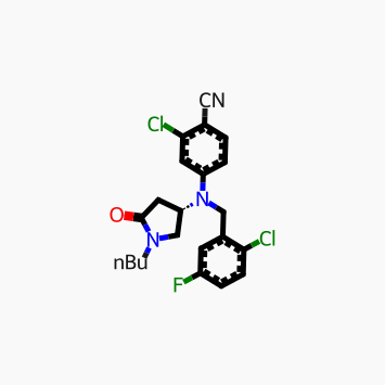 CCCCN1C[C@@H](N(Cc2cc(F)ccc2Cl)c2ccc(C#N)c(Cl)c2)CC1=O